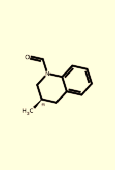 C[C@@H]1Cc2ccccc2N(C=O)C1